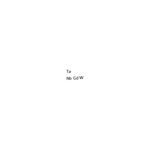 [Gd].[Nb].[Ta].[W]